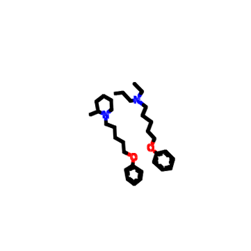 CC1CCCCN1CCCCCOc1ccccc1.CCCN(CC)CCCCCOc1ccccc1